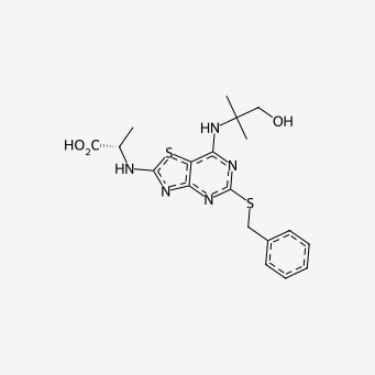 C[C@H](Nc1nc2nc(SCc3ccccc3)nc(NC(C)(C)CO)c2s1)C(=O)O